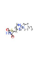 CCC1CCN(c2nccc(/C=C3\SC(=O)NC3=O)n2)CC1